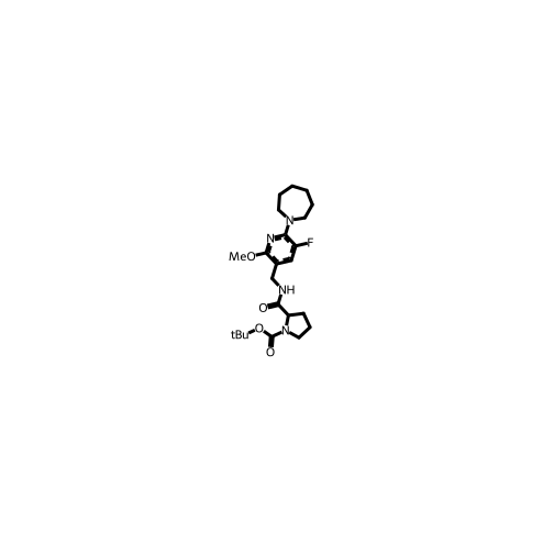 COc1nc(N2CCCCCC2)c(F)cc1CNC(=O)C1CCCN1C(=O)OC(C)(C)C